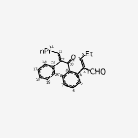 CCC=C(C=O)c1ccccc1C(=O)C(=CCCC)c1ccccc1